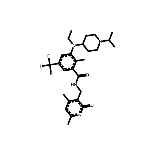 CCN(c1cc(C(F)(F)F)cc(C(=O)NCc2c(C)cc(C)[nH]c2=O)c1C)C1CCN(C(C)C)CC1